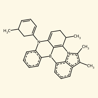 Cc1c(C)n2c3c(cccc13)B1C3=C2C(C)CC=C3N(C2=CC=CC(C)C2)c2ccccc21